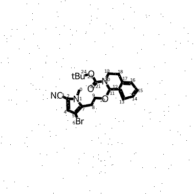 Cn1c(C#N)cc(Br)c1CCOC1c2ccccc2CCN1C(=O)OC(C)(C)C